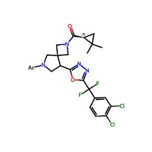 CC(=O)N1CC(c2nnc(C(F)(F)c3ccc(Cl)c(Cl)c3)o2)C2(C1)CN(C(=O)[C@H]1CC1(C)C)C2